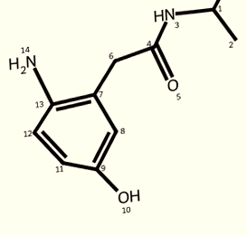 CC(C)NC(=O)Cc1cc(O)ccc1N